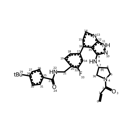 C=CC(=O)N1CC[C@@H](Nc2n[nH]c3nccc(-c4ccc(CNC(=O)c5ccc(C(C)(C)C)cc5)c(F)c4)c23)C1